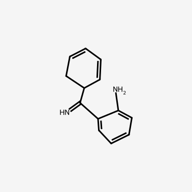 N=C(c1ccccc1N)C1C=CC=CC1